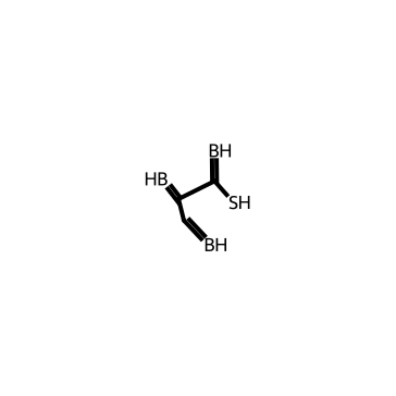 B=CC(=B)C(=B)S